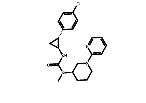 CN(C(=O)N[C@H]1C[C@@H]1c1ccc(Cl)cc1)[C@@H]1CCCN(c2ccccn2)C1